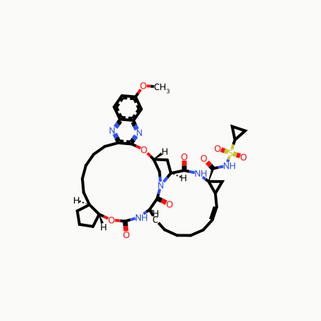 COc1ccc2nc3c(nc2c1)O[C@@H]1C[C@H]2C(=O)N[C@]4(C(=O)NS(=O)(=O)C5CC5)CC4/C=C\CCCCC[C@H](NC(=O)O[C@@H]4CCC[C@H]4CCCCC3)C(=O)N2C1